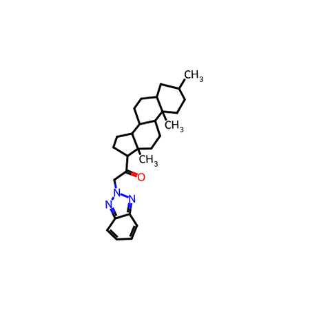 CC1CCC2(C)C(CCC3C2CCC2(C)C(C(=O)Cn4nc5ccccc5n4)CCC32)C1